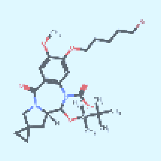 COc1cc2c(cc1OCCCCCBr)N(C(=O)O)C(O[Si](C)(C)C(C)(C)C)[C@@H]1CC3(CC3)CN1C2=O